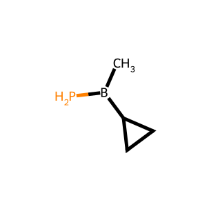 CB(P)C1CC1